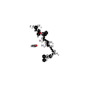 Cc1cc(NCCCCCC(=O)N(C)CCN2CCC(OC(=O)Nc3ccccc3-c3ccccc3)CC2)sc1C(=O)N(C)CCCN(C)C(=O)CO[C@H]1Cc2ccccc2C12CCN(CC[C@]1(c3ccc(F)cc3)CN(C(=O)c3cc(C(F)(F)F)cc(C(F)(F)F)c3)CO1)CC2.Cl.Cl.Cl